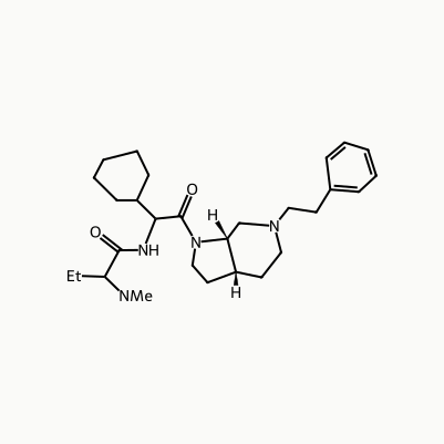 CCC(NC)C(=O)NC(C(=O)N1CC[C@H]2CCN(CCc3ccccc3)C[C@H]21)C1CCCCC1